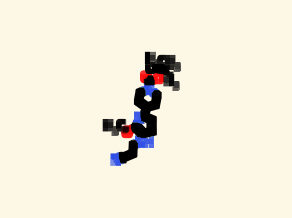 COc1nc(C2CCN(C(=O)OC(C)(C)C)CC2)ccc1NCCC#N